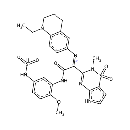 CCN1CCCc2cc(/N=C(\C(=O)Nc3cc(N[SH](=O)=O)ccc3OC)C3=Nc4[nH]ccc4S(=O)(=O)N3C)ccc21